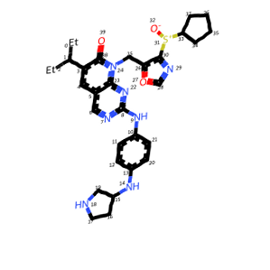 CCC(CC)c1cc2cnc(Nc3ccc(NC4CCNC4)cc3)nc2n(Cc2ocnc2[S+]([O-])C2CCCC2)c1=O